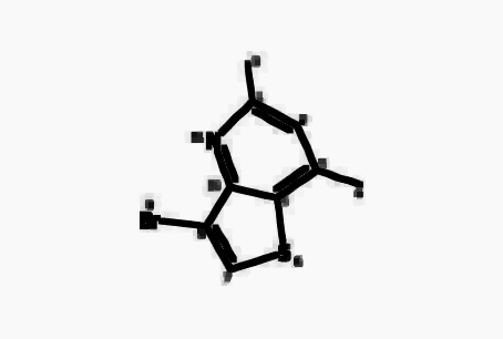 Cc1cc(C)c2scc(Br)c2n1